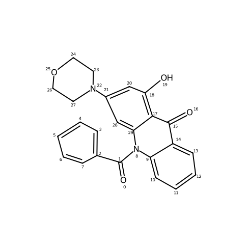 O=C(c1ccccc1)n1c2ccccc2c(=O)c2c(O)cc(N3CCOCC3)cc21